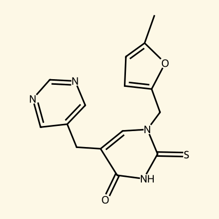 Cc1ccc(Cn2cc(Cc3cncnc3)c(=O)[nH]c2=S)o1